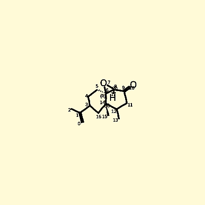 C=C(C)C1CC[C@]23O[C@@H]2C(=O)CC(C)[C@]3(C)C1